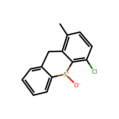 Cc1ccc(Cl)c2c1Cc1ccccc1[S+]2[O-]